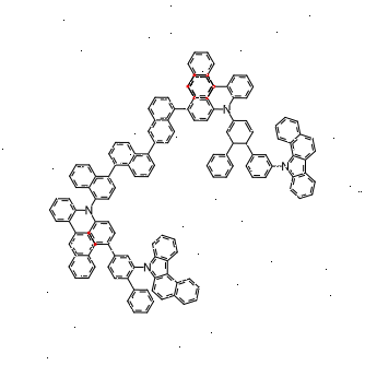 C1=CC(c2cccc(-n3c4ccccc4c4ccc5ccccc5c43)c2)C(c2ccccc2)C=C1N(c1ccccc1-c1cccc2ccccc12)c1ccc(-c2cccc3cc(-c4cccc5c(-c6ccc(N(c7ccc(-c8ccc(-c9ccccc9)c(-n9c%10ccccc%10c%10c%11ccccc%11ccc%109)c8)cc7)c7ccccc7-c7ccc8ccccc8c7)c7ccccc67)cccc45)ccc23)c2ccccc12